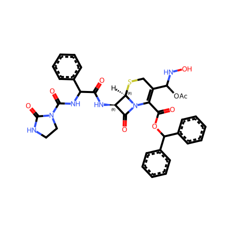 CC(=O)OC(NO)C1=C(C(=O)OC(c2ccccc2)c2ccccc2)N2C(=O)[C@@H](NC(=O)C(NC(=O)N3CCNC3=O)c3ccccc3)[C@H]2SC1